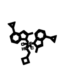 CC1=Cc2c(C3CC3)cccc2[CH]1[Hf]([Cl])([Cl])(=[SiH]CC1CCC1)[CH]1C(C)=Cc2c(C3CC3)cccc21